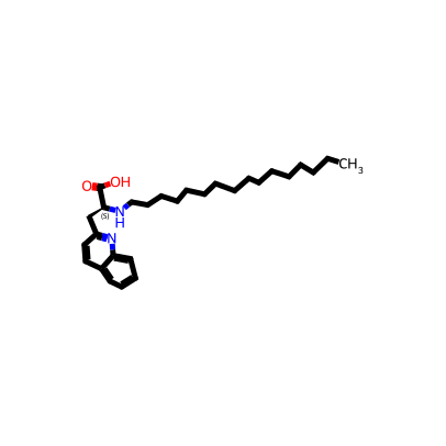 CCCCCCCCCCCCCCCCN[C@@H](Cc1ccc2ccccc2n1)C(=O)O